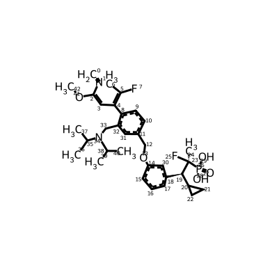 C=N/C(=C\C(=C(/C)F)c1ccc(COc2cccc([C@H](C3CC3)[C@@](C)(F)P(=O)(O)O)c2)cc1CN(C(C)C)C(C)C)OC